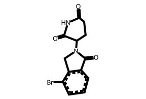 O=C1CCC(N2Cc3c(Br)cccc3C2=O)C(=O)N1